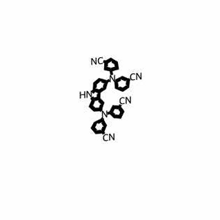 N#Cc1cccc(N(c2cccc(C#N)c2)c2ccc3[nH]c4ccc(N(c5cccc(C#N)c5)c5cccc(C#N)c5)cc4c3c2)c1